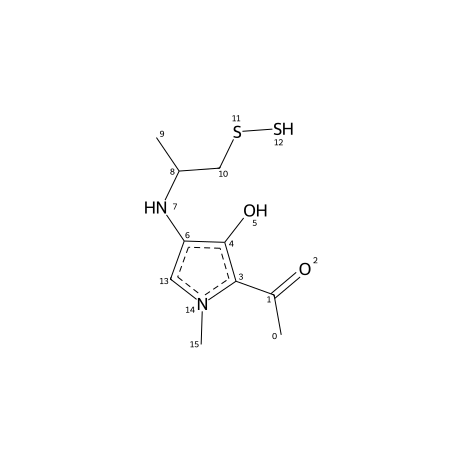 CC(=O)c1c(O)c(NC(C)CSS)cn1C